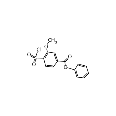 COc1cc(C(=O)Oc2ccccc2)ccc1S(=O)(=O)Cl